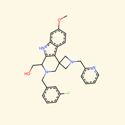 COc1ccc2c3c([nH]c2c1)C(CO)N(Cc1cccc(F)c1)CC31CN(Cc2ccccn2)C1